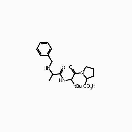 CC(NCc1ccccc1)C(=O)NC(C(=O)N1CCCC1C(=O)O)C(C)(C)C